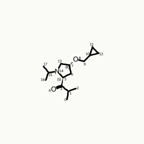 CC(C)C(=O)[C@@H]1C[C@@H](OCC2CC2)CN1C(C)C